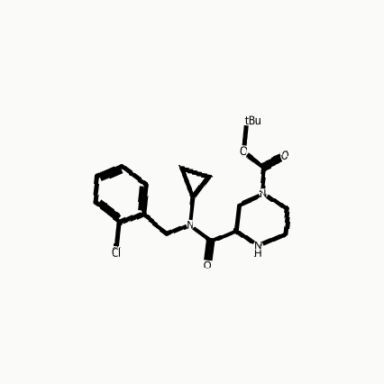 CC(C)(C)OC(=O)N1CCNC(C(=O)N(Cc2ccccc2Cl)C2CC2)C1